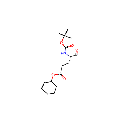 CC(C)(C)OC(=O)N[C@H](C=O)CCC(=O)OC1CCCCC1